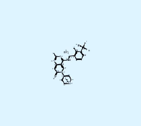 Cc1nc(N[C@H](O)c2cccc(C(F)(F)F)c2C)c2cn(C34CCN(CC3)CC4)c(=O)cc2n1